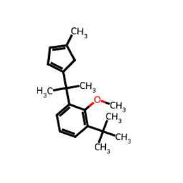 COc1c(C(C)(C)C)cccc1C(C)(C)C1=CC=C(C)C1